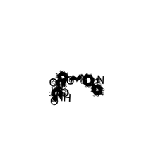 N#C[C@@H]1CCN(CCCOc2cccc3c2CN(C2CCC(=O)NC2=O)C3=O)CCC1c1ccccc1